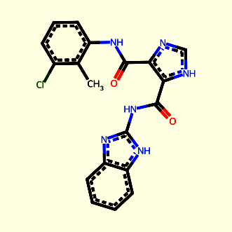 Cc1c(Cl)cccc1NC(=O)c1nc[nH]c1C(=O)Nc1nc2ccccc2[nH]1